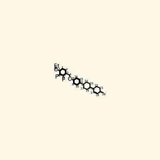 CCOc1ccc(COc2ccc(C3CCC(C4C=CC(C)CC4)CC3)cc2)c(F)c1F